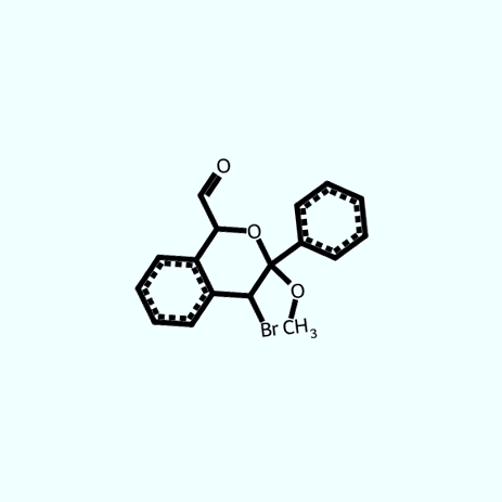 COC1(c2ccccc2)OC(C=O)c2ccccc2C1Br